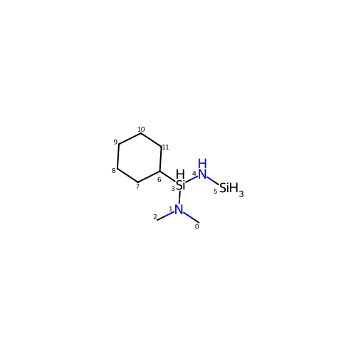 CN(C)[SiH](N[SiH3])C1CCCCC1